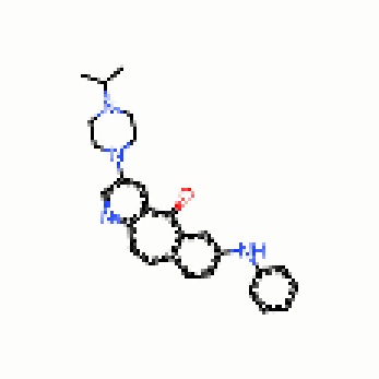 CC(C)N1CCN(c2cnc3ccc4ccc(Nc5ccccc5)cc4c(=O)c3c2)CC1